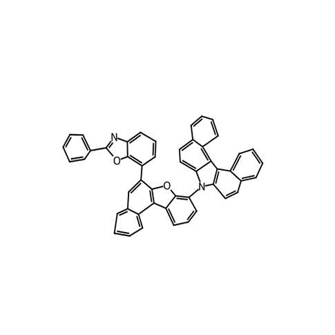 c1ccc(-c2nc3cccc(-c4cc5ccccc5c5c4oc4c(-n6c7ccc8ccccc8c7c7c8ccccc8ccc76)cccc45)c3o2)cc1